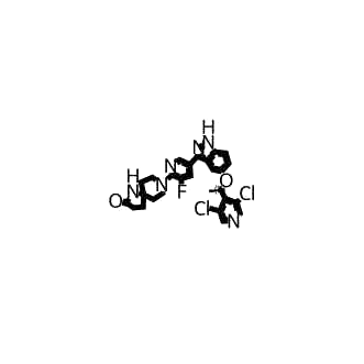 C[C@@H](Oc1ccc2[nH]nc(-c3cnc(N4CCC5(CCC(=O)N5)CC4)c(F)c3)c2c1)c1c(Cl)cncc1Cl